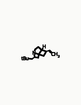 C=C[C@H]1CC23C[C@@H](CC(C)(C)C)N2CC[C@H]13